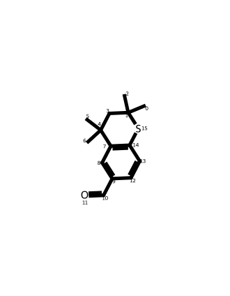 CC1(C)CC(C)(C)c2cc(C=O)ccc2S1